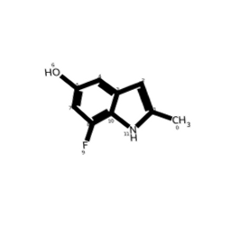 Cc1cc2cc(O)cc(F)c2[nH]1